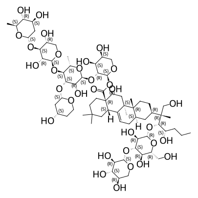 CCC[C@H](O)[C@H](O[C@@H]1O[C@H](CO)[C@@H](O)[C@H](O[C@@H]2OC[C@@H](O)[C@H](O)[C@H]2O)[C@H]1O)[C@@](C)(CO)[C@@H]1CC[C@]2(C)[C@H](CC=C3[C@@H]4CC(C)(C)CC[C@]4(C(=O)O[C@@H]4OC[C@H](O)[C@H](O)[C@H]4O[C@@H]4O[C@@H](C)[C@H](O[C@@H]5OC[C@@H](O)[C@H](O[C@H]6C[C@H](O)[C@@H](O)[C@H](C)O6)[C@H]5O)[C@@H](O[C@H]5C[C@@H](O)CCO5)[C@H]4O)[C@H](O)C[C@]32C)C1